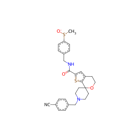 C[S+]([O-])c1ccc(CNC(=O)c2cc3c(s2)C2(CCN(Cc4ccc(C#N)cc4)CC2)OCC3)cc1